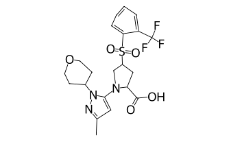 Cc1cc(N2CC(S(=O)(=O)c3ccccc3C(F)(F)F)CC2C(=O)O)n(C2CCOCC2)n1